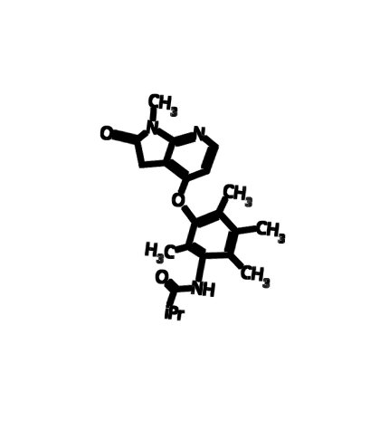 Cc1c(C)c(NC(=O)C(C)C)c(C)c(Oc2ccnc3c2CC(=O)N3C)c1C